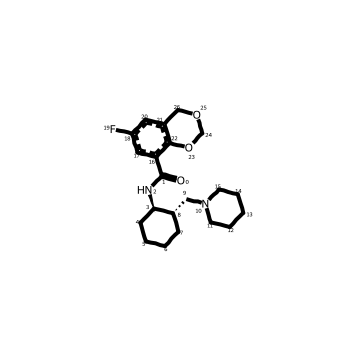 O=C(N[C@@H]1CCCC[C@H]1CN1CCCCC1)c1cc(F)cc2c1OCOC2